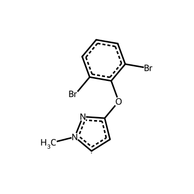 Cn1[c]cc(Oc2c(Br)cccc2Br)n1